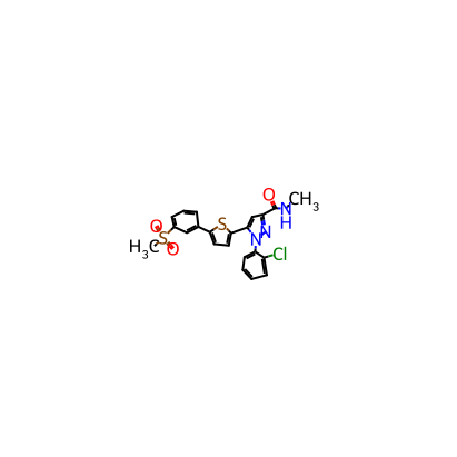 CNC(=O)c1cc(-c2ccc(-c3cccc(S(C)(=O)=O)c3)s2)n(-c2ccccc2Cl)n1